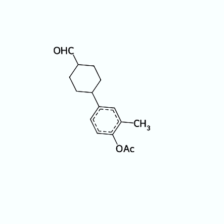 CC(=O)Oc1ccc(C2CCC(C=O)CC2)cc1C